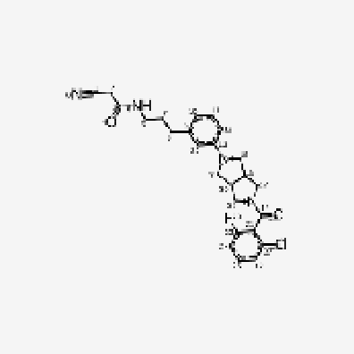 N#CCC(=O)NCCCc1cccc(N2CC3CN(C(=O)c4c(F)cccc4Cl)CC3C2)c1